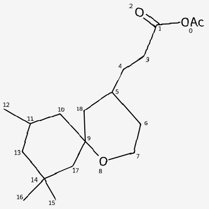 CC(=O)OC(=O)CCC1CCOC2(CC(C)CC(C)(C)C2)C1